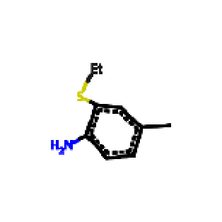 CCSc1cc(C)ccc1N